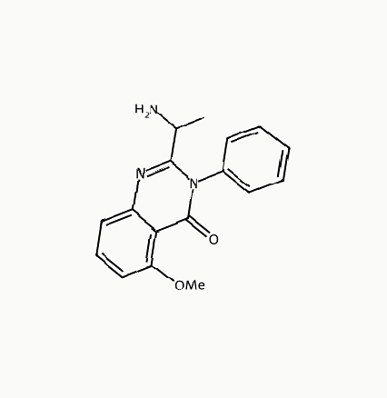 COc1cccc2nc(C(C)N)n(-c3ccccc3)c(=O)c12